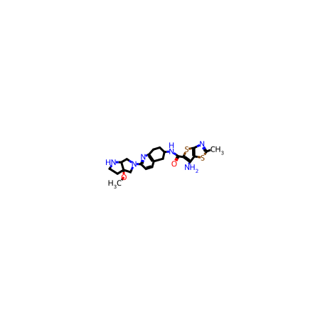 COC12CCNC1CN(c1ccc3c(n1)CCC(NC(=O)c1sc4nc(C)sc4c1N)C3)C2